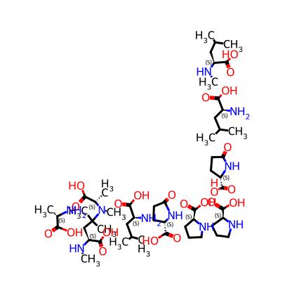 CC(C)C[C@H](N)C(=O)O.CC(C)C[C@H](N)C(=O)O.CN[C@@H](CC(C)(C)N(C)[C@@H](C)C(=O)O)C(=O)O.CN[C@@H](CC(C)C)C(=O)O.C[C@H](N)C(=O)O.O=C(O)[C@@H]1CCCN1.O=C(O)[C@@H]1CCCN1.O=C1CC[C@@H](C(=O)O)N1.O=C1CC[C@@H](C(=O)O)N1